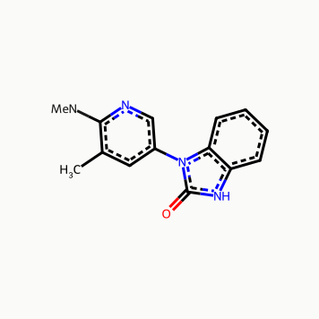 CNc1ncc(-n2c(=O)[nH]c3ccccc32)cc1C